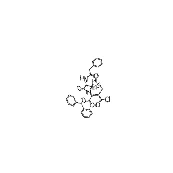 O=C(Cc1ccccc1)NC1C(=O)N2C(C(=O)OC(c3ccccc3)c3ccccc3)=C(C(=O)Cl)CS[C@@H]12